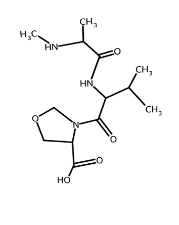 CNC(C)C(=O)NC(C(=O)N1COCC1C(=O)O)C(C)C